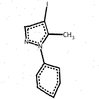 Cc1c(I)cnn1-c1ccccc1